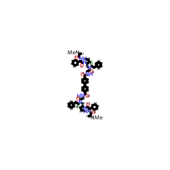 CN[C@@H](C)C(=O)N[C@H](C(=O)N1CC[C@H](F)[C@H]1CN(CCc1ccccc1)C(=O)CNC(=O)c1ccc(-c2ccc(C(=O)NCC(=O)N(CCc3ccccc3)C[C@@H]3[C@@H](F)CCN3C(=O)[C@@H](NC(=O)[C@H](C)NC)C3CCCCC3)cc2)cc1)C1CCCCC1